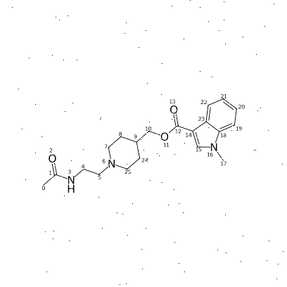 CC(=O)NCCN1CCC(COC(=O)c2cn(C)c3ccccc23)CC1